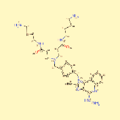 CCCCc1nc2c(NN)nc3ccccc3c2n1Cc1ccc(CN(CCC(=O)NCCCCN)CCC(=O)NCCCCN)cc1